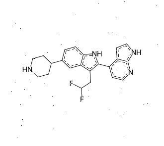 FC(F)Cc1c(-c2ccnc3[nH]ccc23)[nH]c2ccc(C3CCNCC3)cc12